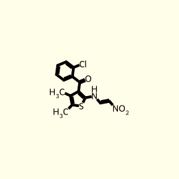 Cc1sc(NC=C[N+](=O)[O-])c(C(=O)c2ccccc2Cl)c1C